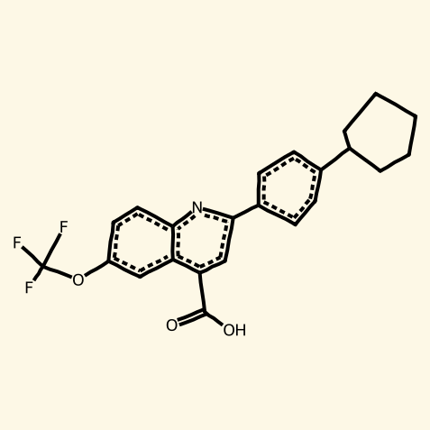 O=C(O)c1cc(-c2ccc(C3CCCCC3)cc2)nc2ccc(OC(F)(F)F)cc12